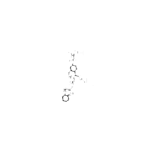 NC/C=C1/c2ccc(OCC(=O)O)cc2CCN1COCC1COc2ccccc2O1